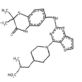 CN(CC1CCN(c2nc(Nc3ccc4c(c3)NC(=O)C(C)(C)S4)nc3ccoc23)CC1)C(=O)O